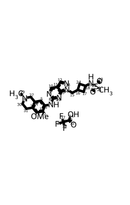 COc1cc2c(cc1Nc1ncc3cnn(CC4CC(NS(C)(=O)=O)C4)c3n1)CN(C)CC2.O=C(O)C(F)(F)F